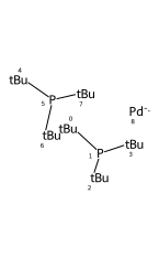 CC(C)(C)P(C(C)(C)C)C(C)(C)C.CC(C)(C)P(C(C)(C)C)C(C)(C)C.[Pd-]